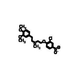 COc1ccc(CCN(C)CCOc2ccc([N+](=O)[O-])cc2Cl)cc1OC